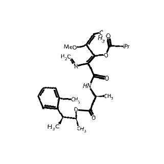 C=N/C(C(=O)N[C@@H](C)C(=O)O[C@@H](C)[C@@H](C)c1ccccc1C)=C(OC(=O)C(C)C)\C(=C/C)OC